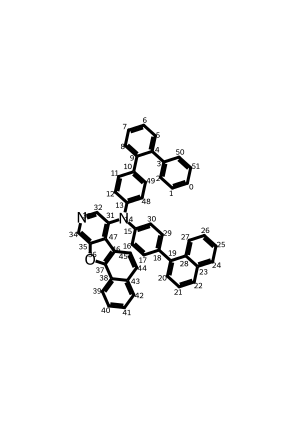 c1ccc(-c2ccccc2-c2ccc(N(c3ccc(-c4cccc5ccccc45)cc3)c3cncc4oc5c6ccccc6ccc5c34)cc2)cc1